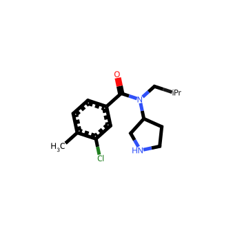 Cc1ccc(C(=O)N(CC(C)C)C2CCNC2)cc1Cl